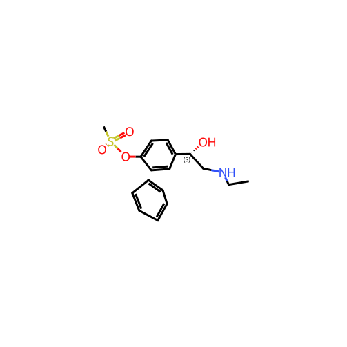 CCNC[C@@H](O)c1ccc(OS(C)(=O)=O)cc1.c1ccccc1